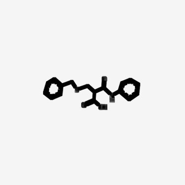 O=C(O)C(CSCc1ccccc1)C(=O)Nc1ccccc1